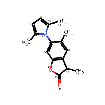 Cc1cc2c(cc1-n1c(C)ccc1C)OC(=O)C2C